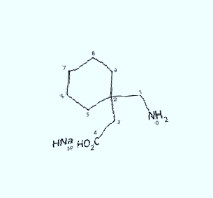 NCC1(CC(=O)O)CCCCC1.[NaH]